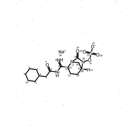 N=C(NC(=O)CC1CCCCC1)[C@@H]1CC[C@@H]2CN1C(=O)N2OS(=O)(=O)[O-].[Na+]